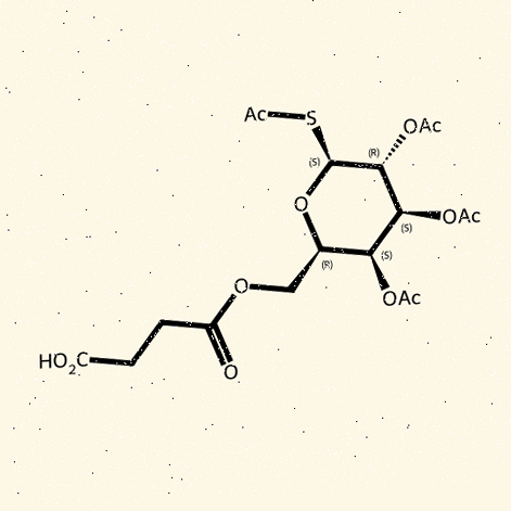 CC(=O)O[C@H]1[C@@H](OC(C)=O)[C@@H](COC(=O)CCC(=O)O)O[C@@H](SC(C)=O)[C@@H]1OC(C)=O